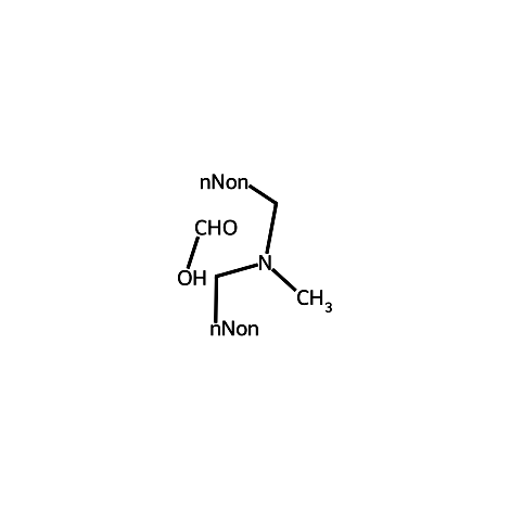 CCCCCCCCCCN(C)CCCCCCCCCC.O=CO